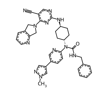 Cn1cc(-c2ccc(N(C(=O)NCc3ccccc3)[C@H]3CC[C@H](Nc4ncc(C#N)c(N5Cc6cccnc6C5)n4)CC3)nc2)cn1